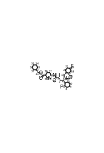 O=C(CCC1c2c(F)cccc2C(=O)N1Cc1ccc(F)cc1)Nc1ccc(C(=O)OCc2ccccc2)cn1